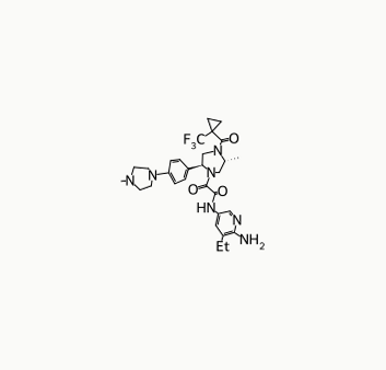 CCc1cc(NC(=O)C(=O)N2C[C@@H](C)N(C(=O)C3(C(F)(F)F)CC3)C[C@@H]2c2ccc(N3CCN(C)CC3)cc2)cnc1N